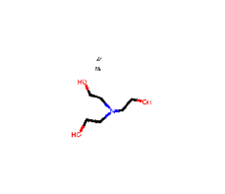 OCCN(CCO)CCO.[Ni].[Zr]